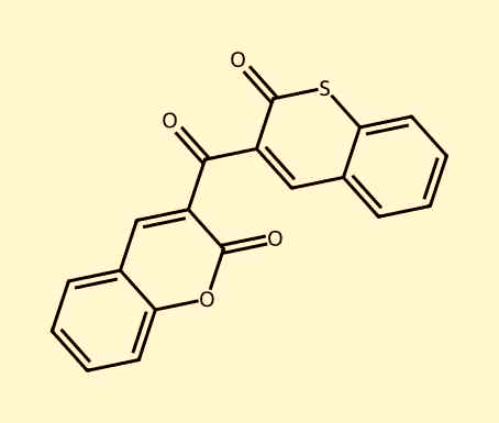 O=C(c1cc2ccccc2oc1=O)c1cc2ccccc2sc1=O